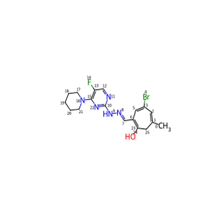 CC1=CC(Br)=CC(/C=N/Nc2ncc(F)c(N3CCCCC3)n2)=C(O)C1